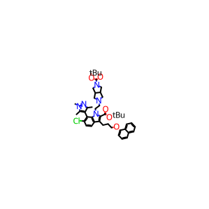 Cc1nn(C)c(C)c1-c1c(Cl)ccc2c(CCCOc3cccc4ccccc34)c(C(=O)OC(C)(C)C)n(CCN3CC4CN(C(=O)OC(C)(C)C)CC4C3)c12